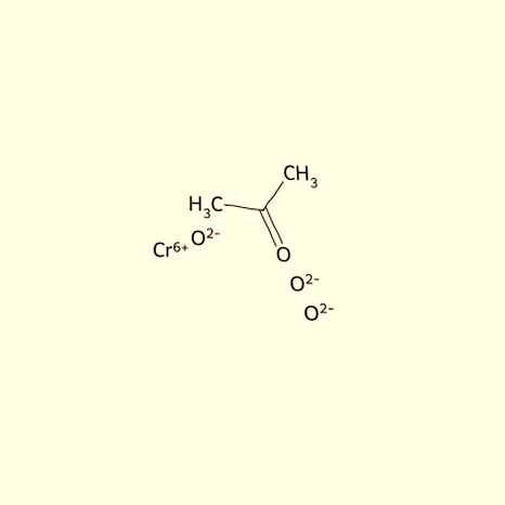 CC(C)=O.[Cr+6].[O-2].[O-2].[O-2]